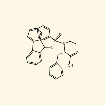 CCN([C@@H](Cc1ccccc1)C(=O)O)[P@@](=O)(OC1c2ccccc2-c2ccccc21)c1ccccc1